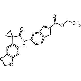 CCOC(=O)C1=Cc2cc(NC(=O)C3(c4ccc5c(c4)OCO5)CC3)ccc2C1